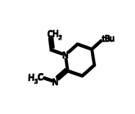 C=CN1CC(C(C)(C)C)CC/C1=N/C